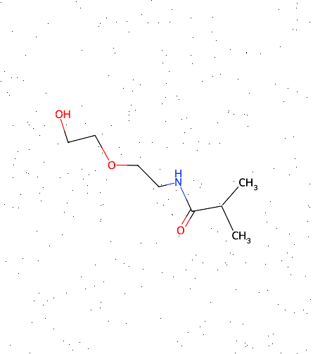 CC(C)C(=O)NCCOCCO